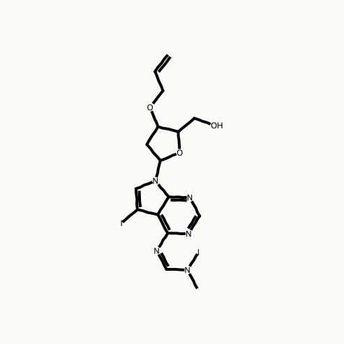 C=CCOC1CC(n2cc(I)c3c(/N=C\N(C)I)ncnc32)OC1CO